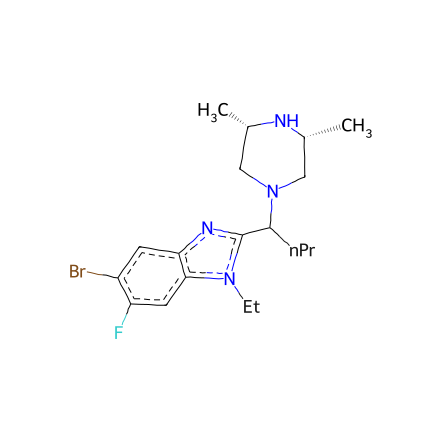 CCCC(c1nc2cc(Br)c(F)cc2n1CC)N1C[C@@H](C)N[C@@H](C)C1